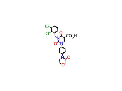 O=C(O)c1cn(-c2ccc(N3CCOCC3=O)cc2)c(=O)n(Cc2cccc(Cl)c2Cl)c1=O